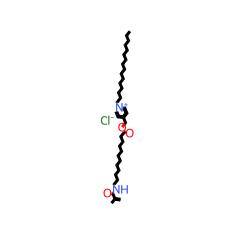 C=C(C)C(=O)NCCCCCCCCCCCC(=O)OCc1cc[n+](CCCCCCCCCCCCCCCC)cc1.[Cl-]